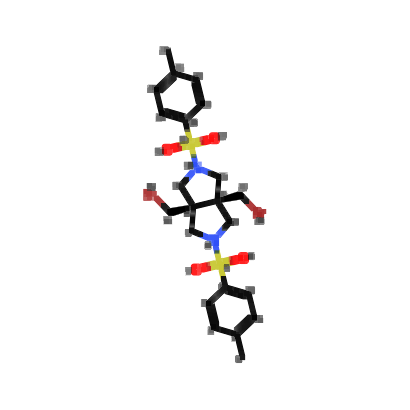 Cc1ccc(S(=O)(=O)N2C[C@]3(CBr)CN(S(=O)(=O)c4ccc(C)cc4)C[C@]3(CBr)C2)cc1